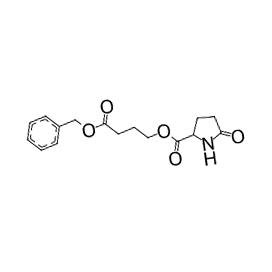 O=C1CCC(C(=O)OCCCC(=O)OCc2ccccc2)N1